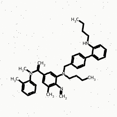 C=Nc1c(C)cc(C(=C)N(C)c2ccccc2C)cc1N(CCCC)Cc1ccc(-c2ccccc2NCCCC)cc1